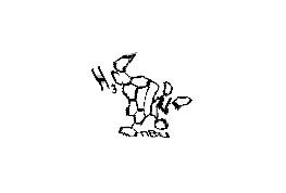 CCCCc1ccccc1-c1cc2c3c(=O)n(-c4ccccc4)c(=O)c3c3cc(-c4ccccc4C)c4ccc5ccc1c1c5c4c3c21